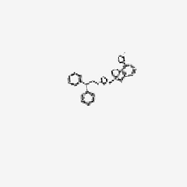 COc1cccc2cc(COCCC(c3ccccc3)c3ccccc3)oc12